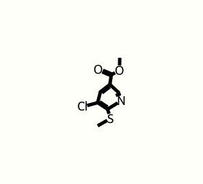 COC(=O)c1cnc(SC)c(Cl)c1